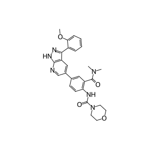 COc1ccccc1-c1n[nH]c2ncc(-c3ccc(NC(=O)N4CCOCC4)c(C(=O)N(C)C)c3)cc12